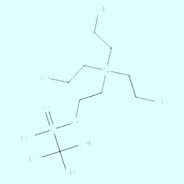 CCC[N+](CCO)(CCO)CCOP(=O)(O)C(C)(C)C